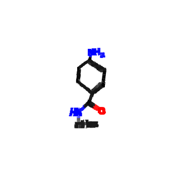 CCCCCCNC(=O)c1ccc(N)cc1